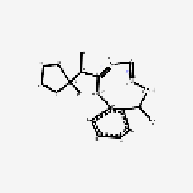 CCC1N/N=C/N=C(/C(C)C2(C)CCCC2)Nc2ccccc21